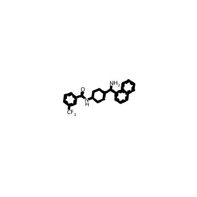 NC(c1cccc2ccccc12)C1CCC(NC(=O)c2cccc(C(F)(F)F)c2)CC1